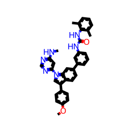 CNc1cc(-n2cc(-c3ccc(OC)cc3)c3ccc(-c4cccc(NC(=O)Nc5c(C)cccc5C)c4)cc32)ncn1